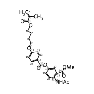 C=C(C)C(=O)OCCCCOc1ccc(C(=O)Oc2ccc(NC(C)=O)c(C(=O)OC)c2)cc1